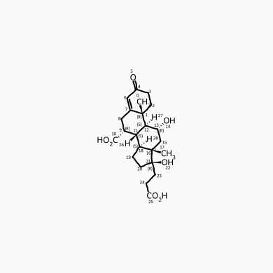 C[C@]12CCC(=O)C=C1C[C@@H](C(=O)O)[C@@H]1[C@@H]2[C@H](O)C[C@@]2(C)[C@H]1CC[C@@]2(O)CCC(=O)O